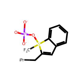 CC(C)CC1=Cc2ccccc2S1(O[I+3]([O-])([O-])[O-])C(F)(F)F